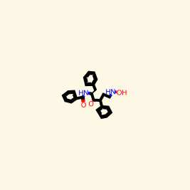 O=C(N[C@@H](Cc1ccccc1)C(=O)C(CCNO)c1ccccc1)c1ccccc1